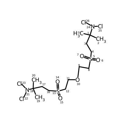 CC(C)(CCS(=O)(=O)CCOCCS(=O)(=O)CCC(C)(C)N(Cl)Cl)N(Cl)Cl